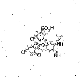 N=Cc1cc(CN(c2ncc(Cl)cc2Cl)S(=O)(=O)c2ccc(C(=O)O)cc2Cl)ccc1NC1CC1